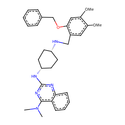 COc1cc(CN[C@H]2CC[C@@H](Nc3nc(N(C)C)c4ccccc4n3)CC2)c(OCc2ccccc2)cc1OC